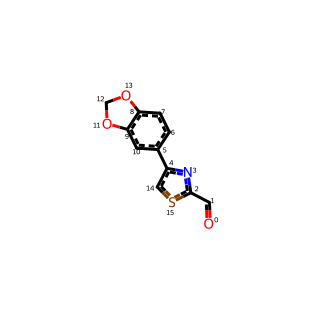 O=Cc1nc(-c2ccc3c(c2)OCO3)cs1